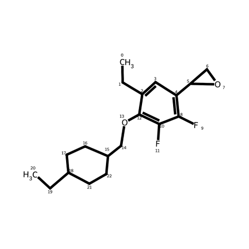 CCc1cc(C2CO2)c(F)c(F)c1OCC1CCC(CC)CC1